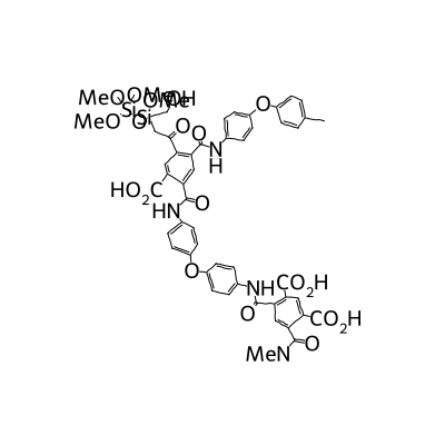 CNC(=O)c1cc(C(=O)Nc2ccc(Oc3ccc(NC(=O)c4cc(C(=O)Nc5ccc(Oc6ccc(C)cc6)cc5)c(C(=O)C[Si](CO)(OC)O[Si](OC)(OC)OC)cc4C(=O)O)cc3)cc2)c(C(=O)O)cc1C(=O)O